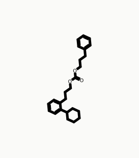 O=C(OCCCc1ccccc1)OCCCc1ccccc1C1CCCCC1